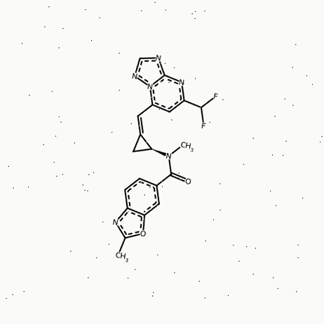 Cc1nc2ccc(C(=O)N(C)[C@H]3C/C3=C/c3cc(C(F)F)nc4ncnn34)cc2o1